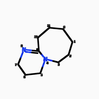 C1CCCN2CCCN=C2CC1